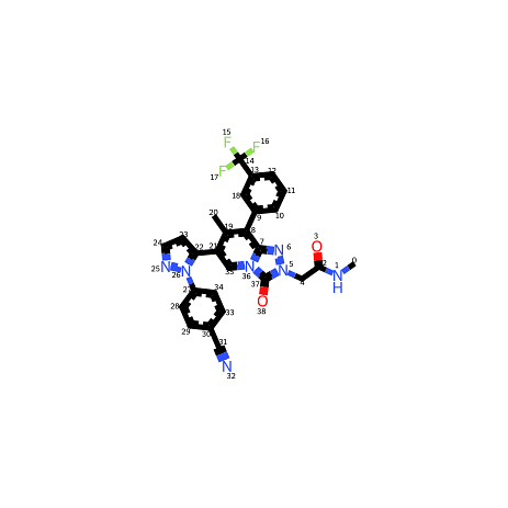 CNC(=O)Cn1nc2c(-c3cccc(C(F)(F)F)c3)c(C)c(-c3ccnn3-c3ccc(C#N)cc3)cn2c1=O